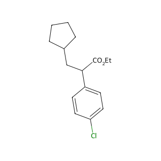 CCOC(=O)C(CC1CCCC1)c1ccc(Cl)cc1